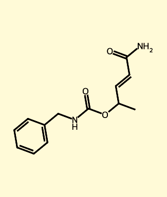 CC(C=CC(N)=O)OC(=O)NCc1ccccc1